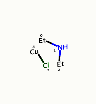 CCNCC.[Cl][Cu]